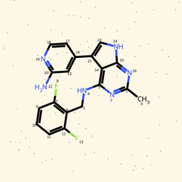 Cc1nc(NCc2c(F)cccc2F)c2c(-c3ccnc(N)c3)c[nH]c2n1